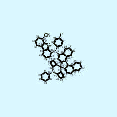 Cc1ccc(N(c2cc3c(c4ccccc24)-c2c(ccc4ccccc24)C32c3ccccc3N(c3ccccc3)c3ccccc32)c2cccc3c2oc2c(C#N)cccc23)cc1